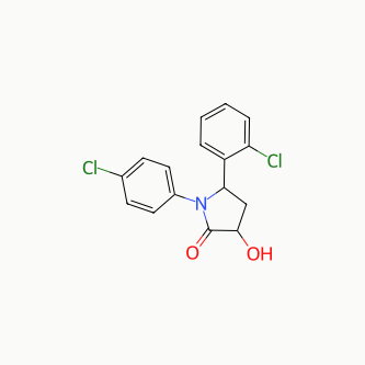 O=C1C(O)CC(c2ccccc2Cl)N1c1ccc(Cl)cc1